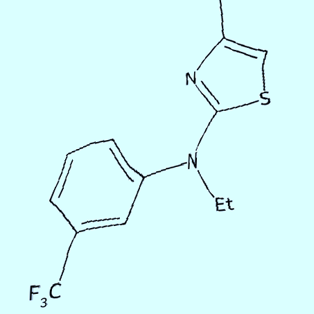 CCN(c1cccc(C(F)(F)F)c1)c1nc(C=O)cs1